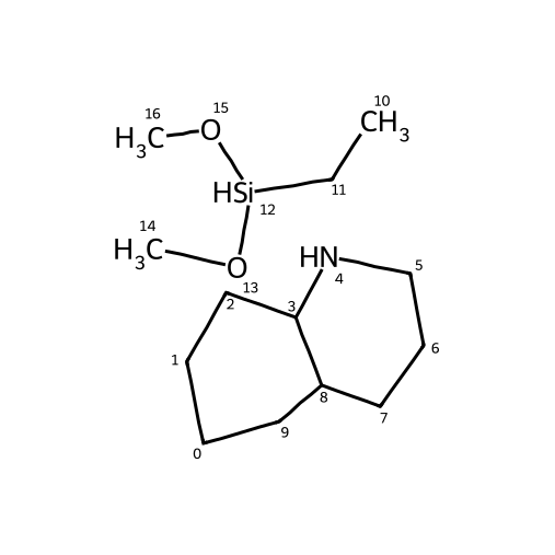 C1CCC2NCCCC2C1.CC[SiH](OC)OC